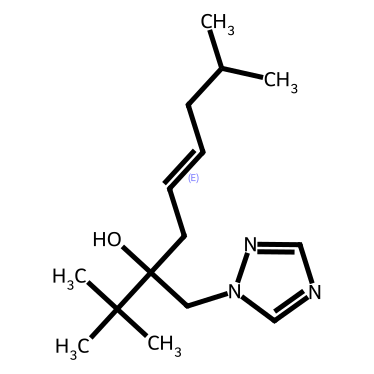 CC(C)C/C=C/CC(O)(Cn1cncn1)C(C)(C)C